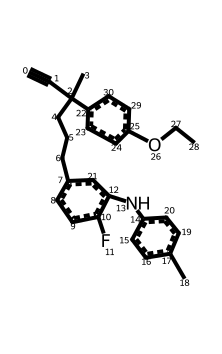 C#CC(C)(CCCc1ccc(F)c(Nc2ccc(C)cc2)c1)c1ccc(OCC)cc1